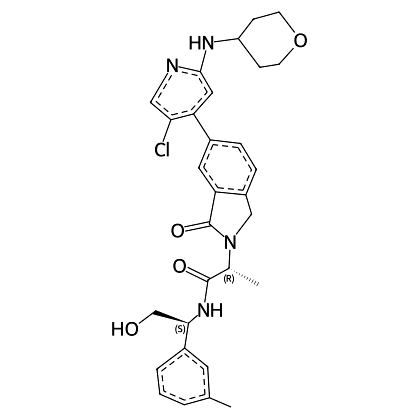 Cc1cccc([C@@H](CO)NC(=O)[C@@H](C)N2Cc3ccc(-c4cc(NC5CCOCC5)ncc4Cl)cc3C2=O)c1